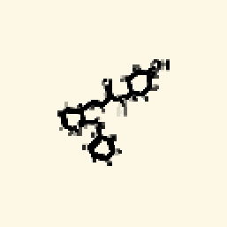 O=C(C=Cc1cccnc1Sc1ccccc1)NC1CCC(O)CC1